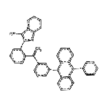 C=C(c1cccc(-c2c3ccccc3c(-c3ccccc3)c3ccccc23)c1)c1ccccc1-c1nc2ccccn2c1N